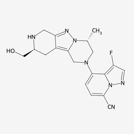 C[C@@H]1CN(c2ccc(C#N)n3ncc(F)c23)Cc2c3c(nn21)CN[C@H](CO)C3